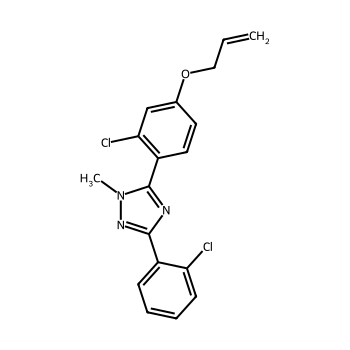 C=CCOc1ccc(-c2nc(-c3ccccc3Cl)nn2C)c(Cl)c1